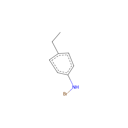 CCc1ccc(NBr)cc1